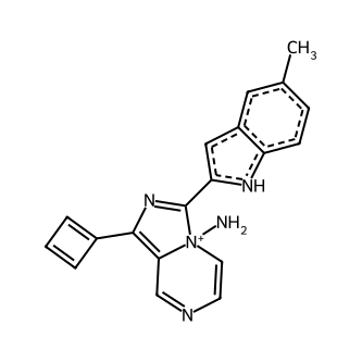 Cc1ccc2[nH]c(C3=NC(C4=CC=C4)=C4C=NC=C[N+]34N)cc2c1